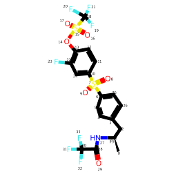 C[C@H](Cc1ccc(S(=O)(=O)c2ccc(OS(=O)(=O)C(F)(F)F)c(F)c2)cc1)NC(=O)C(F)(F)F